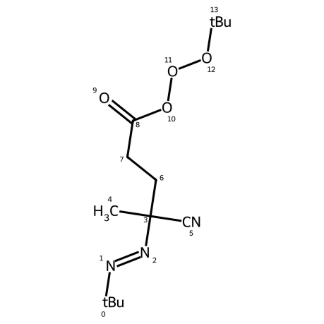 CC(C)(C)N=NC(C)(C#N)CCC(=O)OOOC(C)(C)C